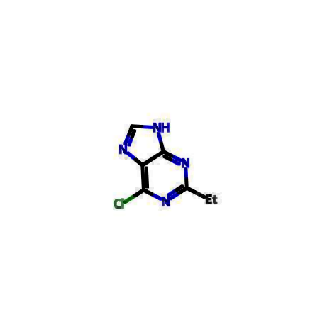 CCc1nc(Cl)c2nc[nH]c2n1